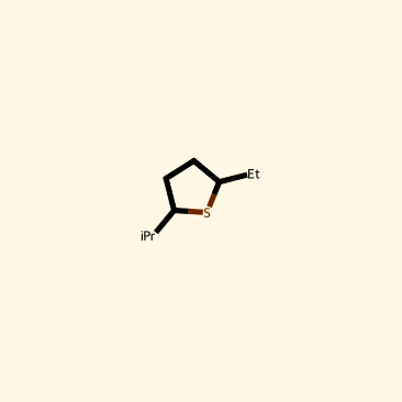 CCC1CCC(C(C)C)S1